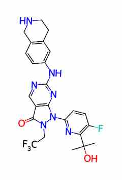 CC(C)(O)c1nc(-n2c3nc(Nc4ccc5c(c4)CCNC5)ncc3c(=O)n2CC(F)(F)F)ccc1F